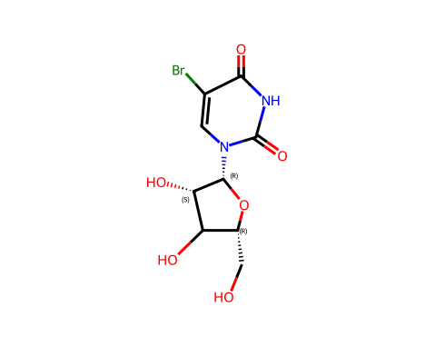 O=c1[nH]c(=O)n([C@@H]2O[C@H](CO)C(O)[C@@H]2O)cc1Br